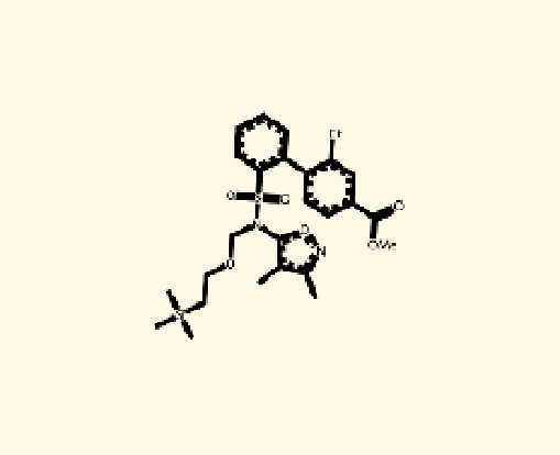 CCc1cc(C(=O)OC)ccc1-c1ccccc1S(=O)(=O)N(COCC[Si](C)(C)C)c1onc(C)c1C